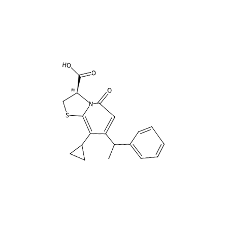 CC(c1ccccc1)c1cc(=O)n2c(c1C1CC1)SC[C@H]2C(=O)O